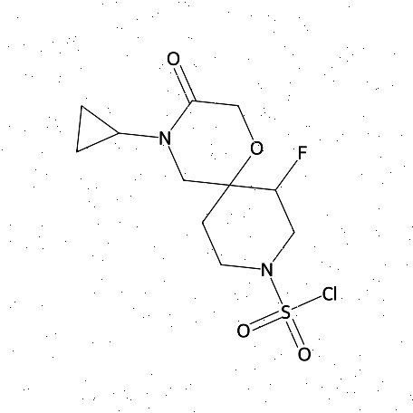 O=C1COC2(CCN(S(=O)(=O)Cl)CC2F)CN1C1CC1